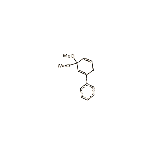 COC1(OC)C=CCC(c2ccccc2)=C1